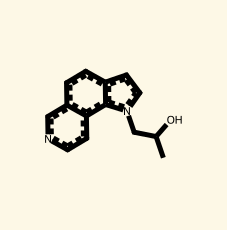 CC(O)Cn1ccc2ccc3cnccc3c21